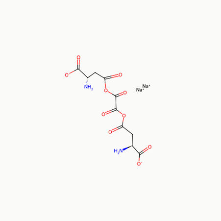 N[C@@H](CC(=O)OC(=O)C(=O)OC(=O)C[C@H](N)C(=O)[O-])C(=O)[O-].[Na+].[Na+]